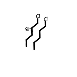 CCCCCCl.CCCCCCl.[SiH4]